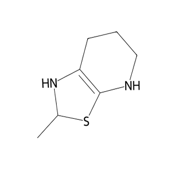 CC1NC2=C(NCCC2)S1